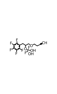 C#CCCOCC(Cc1c(F)c(F)c(F)c(F)c1F)OP(O)(O)(F)F